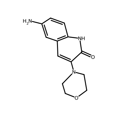 Nc1ccc2[nH]c(=O)c(N3CCOCC3)cc2c1